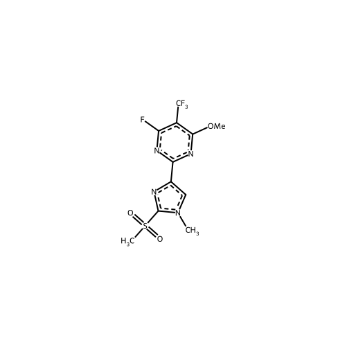 COc1nc(-c2cn(C)c(S(C)(=O)=O)n2)nc(F)c1C(F)(F)F